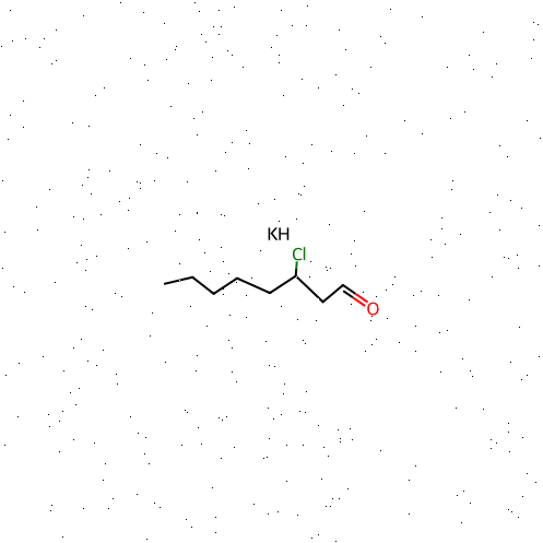 CCCCCC(Cl)CC=O.[KH]